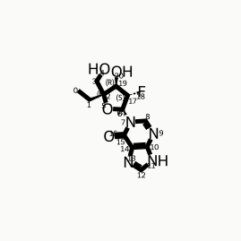 CC[C@]1(CO)O[C@@H](n2cnc3[nH]cnc3c2=O)[C@@H](F)[C@@H]1O